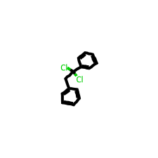 ClC(Cl)(Cc1ccccc1)c1ccccc1